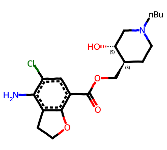 CCCCN1CC[C@@H](COC(=O)c2cc(Cl)c(N)c3c2OCC3)[C@H](O)C1